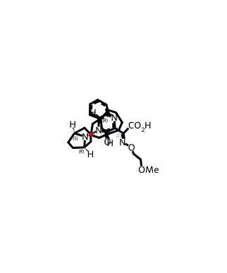 COCCO/N=C(\C(=O)O)c1nc2ccccc2n([C@H]2C[C@H]3CC[C@@H](C2)N3[C@@H]2C[C@@H]3CCCC[C@@H](C3)C2)c1=O